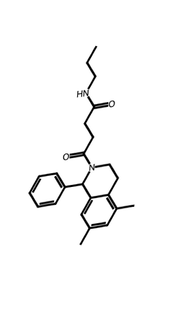 CCCNC(=O)CCC(=O)N1CCc2c(C)cc(C)cc2C1c1ccccc1